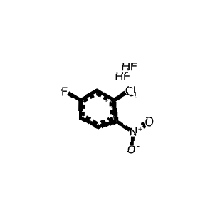 F.F.O=[N+]([O-])c1ccc(F)cc1Cl